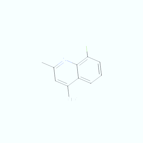 Cc1cc(C=O)c2cccc(F)c2n1